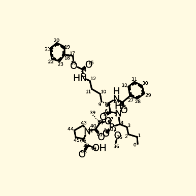 CCCCC(NC(=O)[C@H](CCCCNC(=O)OCc1ccccc1)NC(=O)c1ccccc1)P(=O)(OC)O[C@@H](C)C(=O)N1CCC[C@H]1C(=O)O